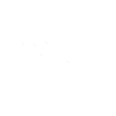 c1ccc2c(c1)ccc1c2c2c3ccccc3ccc2n1-c1ccc2c3ccccc3n(-c3nc4ccccc4c4nc5ccccc5n34)c2c1